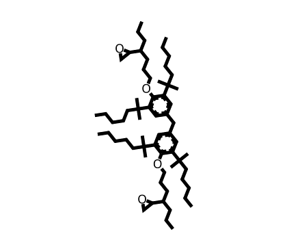 CCCCCC(C)(C)c1cc(Cc2cc(C(C)(C)CCCCC)c(OCCCC(CCC)C3CO3)c(C(C)(C)CCCCC)c2)cc(C(C)(C)CCCCC)c1OCCCC(CCC)C1CO1